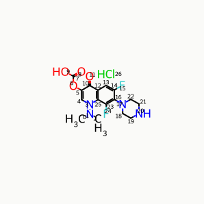 CN(C)n1cc(OC(=O)O)c(=O)c2cc(F)c(N3CCNCC3)c(F)c21.Cl